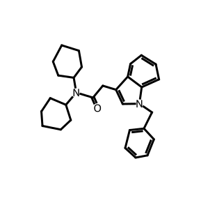 O=C(Cc1cn(Cc2ccccc2)c2ccccc12)N(C1CCCCC1)C1CCCCC1